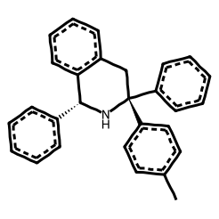 Cc1ccc([C@]2(c3ccccc3)Cc3ccccc3[C@@H](c3ccccc3)N2)cc1